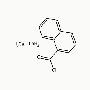 O=C(O)c1cccc2ccccc12.[CaH2].[CaH2]